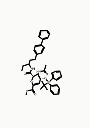 CCC(CCc1ccc(-c2ccccc2)cc1)NC(=O)[C@@H]1OC(C(=O)OC)=C[C@@H](O[Si](c2ccccc2)(c2ccccc2)C(C)(C)C)[C@@H]1NC(C)=O